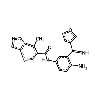 Cc1c(C(=O)Nc2ccc(N)c(C(=N)c3ccoc3)c2)cnc2cncn12